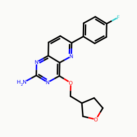 Nc1nc(OCC2CCOC2)c2nc(-c3ccc(F)cc3)ccc2n1